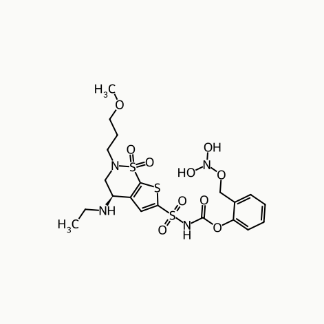 CCN[C@H]1CN(CCCOC)S(=O)(=O)c2sc(S(=O)(=O)NC(=O)Oc3ccccc3CON(O)O)cc21